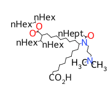 CCCCCCCC(=O)N(CCCN(C)C)C(CCCCCCCCC(=O)O)CCCCCCCC(C(=O)OC(CCCCCC)CCCCCC)C(CCCCCC)CCCCCC